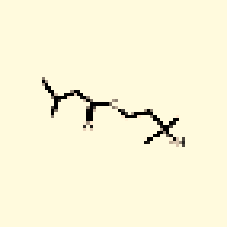 CC(C)CC(=O)OCCC(C)(C)S